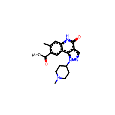 COC(=O)c1cc2c(cc1C)[nH]c(=O)c1cnn(C3CCN(C)CC3)c12